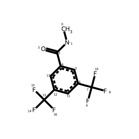 C[N]C(=O)c1cc(C(F)(F)F)cc(C(F)(F)F)c1